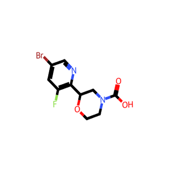 O=C(O)N1CCOC(c2ncc(Br)cc2F)C1